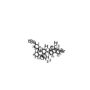 CC(C)(C)c1ccc(N2c3ccccc3C(C)(C)c3cc(-c4ccc5c(c4)C(C)(C)c4cc(Br)ccc4-5)ccc32)cc1